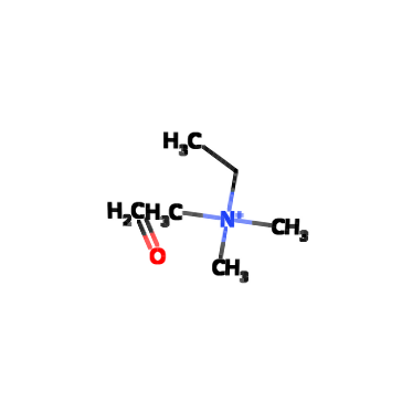 C=O.CC[N+](C)(C)C